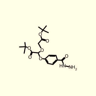 CC(C)(C)OC(=O)COC(Oc1ccc(C(=O)NN)cc1)C(=O)OC(C)(C)C